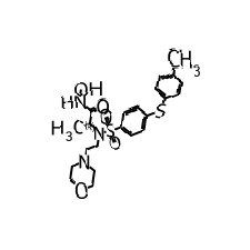 Cc1ccc(Sc2ccc(S(=O)(=O)N(CCN3CCOCC3)[C@H](C)C(=O)NO)cc2)cc1